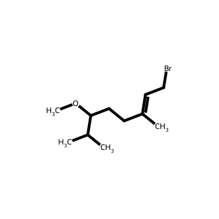 COC(CCC(C)=CCBr)C(C)C